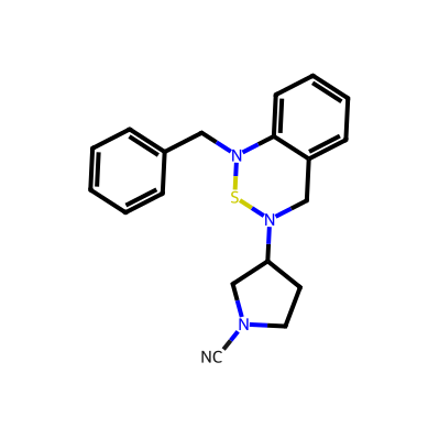 N#CN1CCC(N2Cc3ccccc3N(Cc3ccccc3)S2)C1